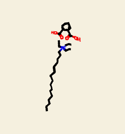 CCCCCCCCCCCCCCCC[N+](CC)(CC)CC.O=C(O)c1ccccc1C(=O)O